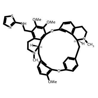 COc1ccc2cc1Oc1ccc(cc1)C[C@H]1c3cc(ccc3CCN1C)Oc1c(OC)c(OC)c(CNc3nccs3)c3c1[C@H](C2)N(C)CC3